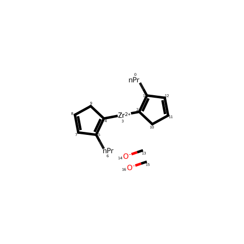 CCCC1=[C]([Zr+2][C]2=C(CCC)C=CC2)CC=C1.C[O-].C[O-]